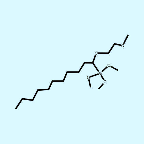 CCCCCCCCCCC(OCCOC)[Si](OC)(OC)OC